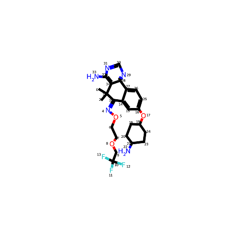 CC1(C)/C(=N/OCCOCC(F)(F)F)c2cc(OC3CCC(N)CC3)ccc2-c2ncnc(N)c21